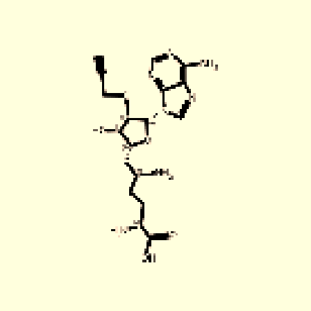 C#CCO[C@@H]1[C@H](O)[C@@H](C[C@@H](N)CC[C@H](N)C(=O)O)O[C@H]1n1cnc2c(N)ncnc21